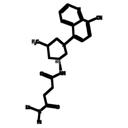 CCN(CC)C(=O)CCC(=O)N[C@@H]1CC(C(F)(F)F)CN(c2ccc(C#N)c3ncccc23)C1